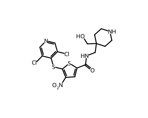 O=C(NCC1(CO)CCNCC1)c1cc([N+](=O)[O-])c(Sc2c(Cl)cncc2Cl)s1